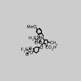 COc1ccc(CN([C@H]2C[C@@H](C)N(C(=O)O)[C@H]2CO[C@@H]2CC=C(OS(=O)(=O)C(F)(F)F)CC2)S(=O)(=O)N(C)C)cc1